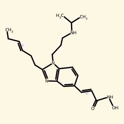 CC/C=C/CCc1nc2cc(/C=C/C(=O)NO)ccc2n1CCCNC(C)C